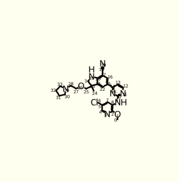 COc1ncc(Cl)cc1Nc1nccc(-c2cc(C#N)c3c(c2)C(C)(COCCN2CCCC2)CN3)n1